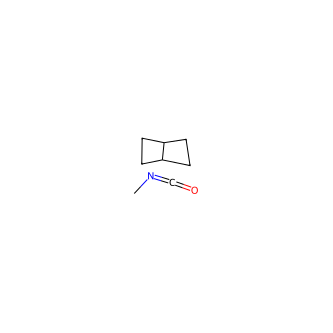 C1CC2CCC12.CN=C=O